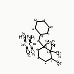 BrC1CCCC(Br)(CC2CCCCC2)C1(Br)Br.N=C=O.N=C=O